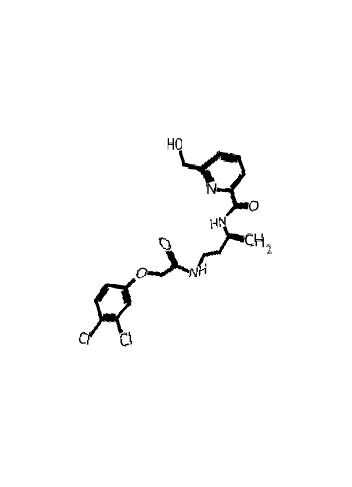 C=C(CCNC(=O)COc1ccc(Cl)c(Cl)c1)NC(=O)c1cccc(CO)n1